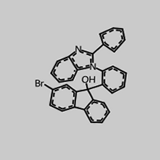 OC1(c2ccccc2-n2c(-c3ccccc3)nc3ccccc32)c2ccccc2-c2ccc(Br)cc21